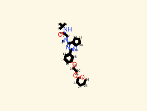 CN(CC(=O)NC(C)(C)C)c1nc(-c2cccc(OCCOC3CCCCO3)c2)nc2c1CCC2